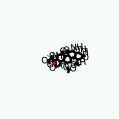 CC(=O)O[C@H]1C2C(C(=O)[C@@H](N)[C@@]3(O)C[C@@H]4O[C@@H]4C[C@]23C)[C@@H]2C(=O)C[C@@H]3[C@H]([C@H](C)[C@H]4O[C@]45OC(=O)[C@@](C)(O)[C@]35C)[C@@]2(C)[C@H]1OC(C)=O